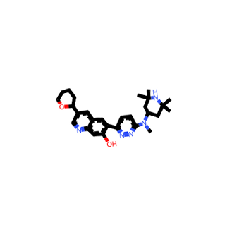 CN(c1ccc(-c2cc3cc(C4CCCCO4)cnc3cc2O)nn1)C1CC(C)(C)NC(C)(C)C1